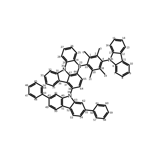 Cc1c(C)c(-n2c3ccccc3c3ccccc32)c(C)c(C)c1B1c2ccccc2-n2c3ccccc3c3c(-n4c5cc(-c6ccccc6)ccc5c5ccc(-c6ccccc6)cc54)ccc1c32